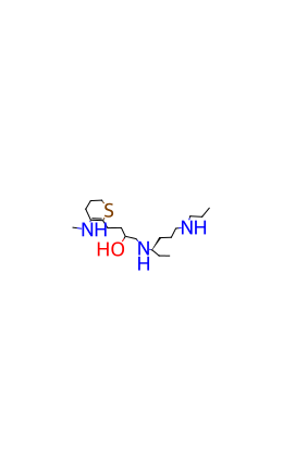 CCCNCCC[C@@H](CC)NCC(O)CCC1=C(NC)CCCS1